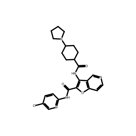 O=C(Nc1ccc(Cl)cn1)c1oc2ccncc2c1NC(=O)C1CCC(N2CCCC2)CC1